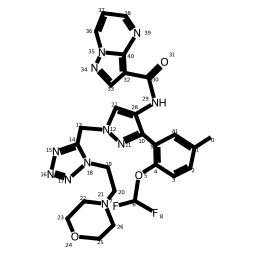 Cc1ccc(OC(F)F)c(-c2nn(Cc3nnnn3CCN3CCOCC3)cc2NC(=O)c2cnn3cccnc23)c1